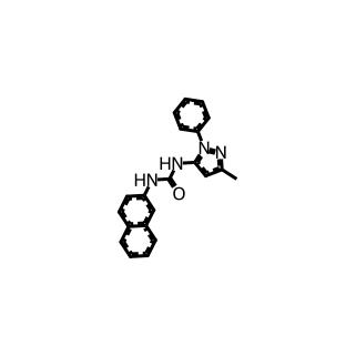 Cc1cc(NC(=O)Nc2ccc3ccccc3c2)n(-c2ccccc2)n1